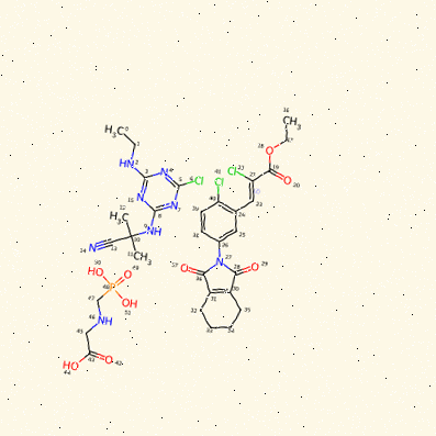 CCNc1nc(Cl)nc(NC(C)(C)C#N)n1.CCOC(=O)/C(Cl)=C/c1cc(N2C(=O)C3=C(CCCC3)C2=O)ccc1Cl.O=C(O)CNCP(=O)(O)O